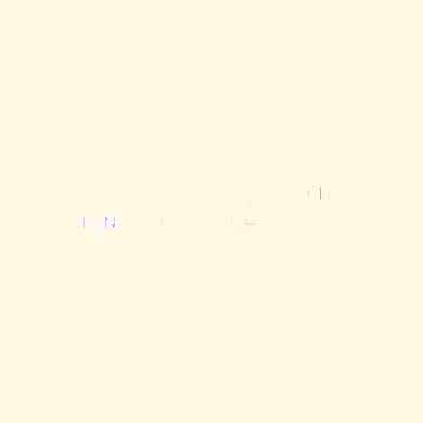 CCCCCCOC(O)CCCCCOCCCCN